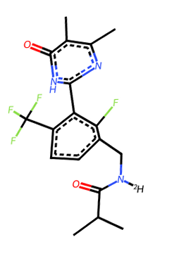 [2H]N(Cc1ccc(C(F)(F)F)c(-c2nc(C)c(C)c(=O)[nH]2)c1F)C(=O)C(C)C